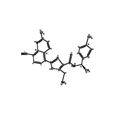 COc1ccc(-c2nc(C(=O)N[C@H](C)c3ccc(C)cc3)c(CN)o2)c2ccc(C(F)(F)F)nc12